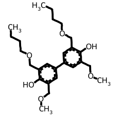 CCCCOCc1cc(-c2cc(COC)c(O)c(COCCCC)c2)cc(COC)c1O